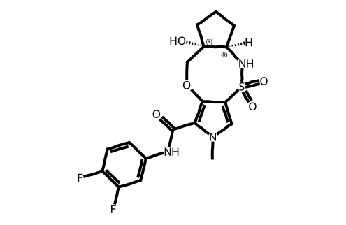 Cn1cc2c(c1C(=O)Nc1ccc(F)c(F)c1)OC[C@@]1(O)CCC[C@H]1NS2(=O)=O